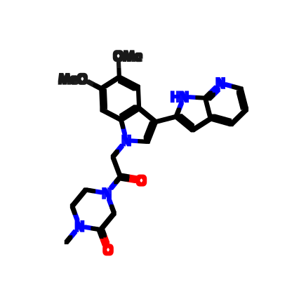 COc1cc2c(-c3cc4cccnc4[nH]3)cn(CC(=O)N3CCN(C)C(=O)C3)c2cc1OC